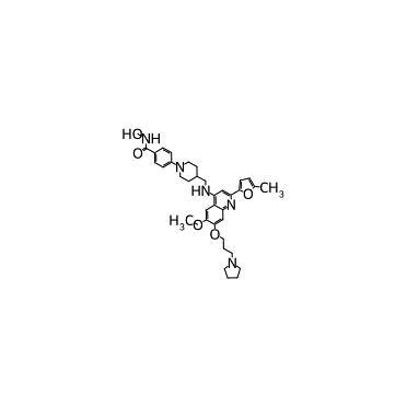 COc1cc2c(NCC3CCN(c4ccc(C(=O)NO)cc4)CC3)cc(-c3ccc(C)o3)nc2cc1OCCCN1CCCC1